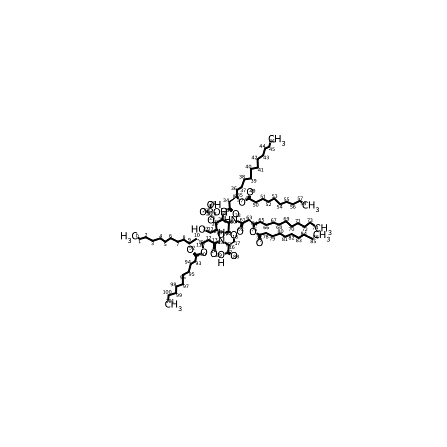 CCCCCCCCCCC[C@H](CC(=O)N[C@@H](CO[C@@H]1OC(CO)[C@@H](OP(=O)(O)O)C(OC(=O)C[C@@H](CCCCCCCCCCC)OC(=O)CCCCCCCCC)C1NC(=O)C[C@@H](CCCCCCCCCC)OC(=O)CCCCCCCCC)C(=O)O)OC(=O)CCCCCCCCC